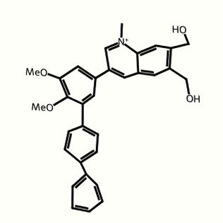 COc1cc(-c2cc3cc(CO)c(CO)cc3[n+](C)c2)cc(-c2ccc(-c3ccccc3)cc2)c1OC